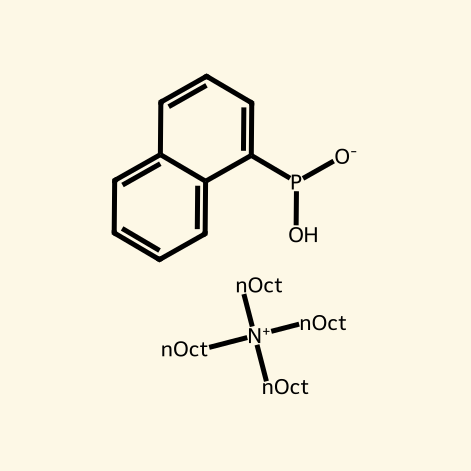 CCCCCCCC[N+](CCCCCCCC)(CCCCCCCC)CCCCCCCC.[O-]P(O)c1cccc2ccccc12